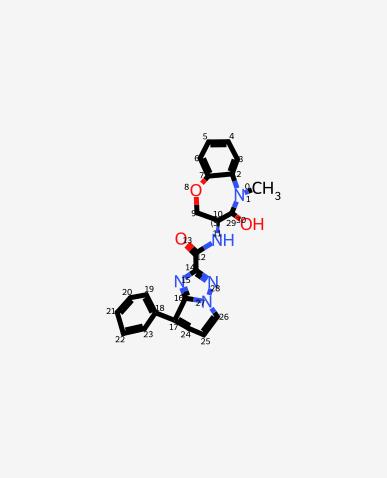 CN1c2ccccc2OC[C@H](NC(=O)c2nc3c(-c4ccccc4)cccn3n2)C1O